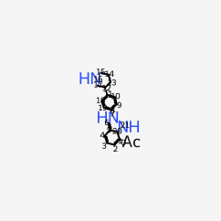 CC(=O)C1=CC=C/C(=C/Nc2ccc([C@@H]3CCCNC3)cc2)C1=N